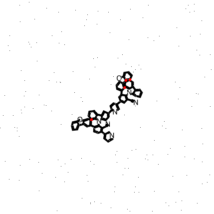 N#Cc1cc(-c2ccc(-c3ccc4c(c3)c3ccccc3n4-c3c(-c4ccc5oc6ccccc6c5c4)ccc(-c4cccnc4)c3C#N)nc2)cc(-c2ccc3oc4ccccc4c3c2)c1-n1c2ccccc2c2ccccc21